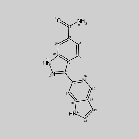 NC(=O)c1ccc2c(-c3cc4[nH]ccc4cn3)n[nH]c2c1